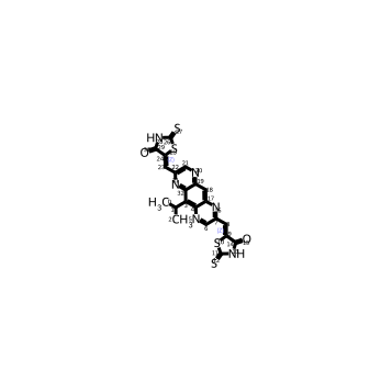 CC(C)c1c2ncc(/C=C3\SC(=S)NC3=O)nc2cc2ncc(/C=C3\SC(=S)NC3=O)nc12